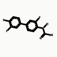 O=C(O)N(Cl)c1ccc(-c2ccc(F)c(F)c2)cc1F